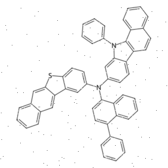 c1ccc(-c2ccc(N(c3ccc4sc5cc6ccccc6cc5c4c3)c3ccc4c5ccc6ccccc6c5n(-c5ccccc5)c4c3)c3ccccc23)cc1